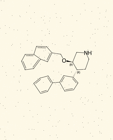 c1ccc(-c2cccc([C@H]3CCNC[C@@H]3OCc3ccc4ccccc4c3)c2)cc1